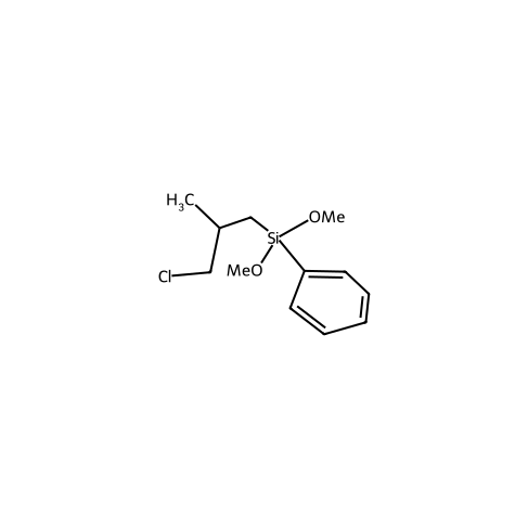 CO[Si](CC(C)CCl)(OC)c1ccccc1